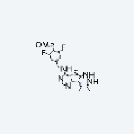 COc1c(F)cc(CNc2ncnc3c2SC(=N)/C3=C(/C)C(C)=N)cc1F